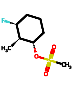 C[C@@H]1[C@H](F)CCC[C@@H]1OS(C)(=O)=O